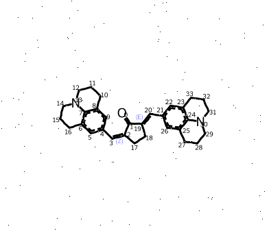 O=C1/C(=C\c2cc3c4c(c2)CCCN4CCC3)CC/C1=C\c1cc2c3c(c1)CCCN3CCC2